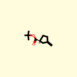 C=C1CC[C@H](C(=O)OC(C)(C)C)C1